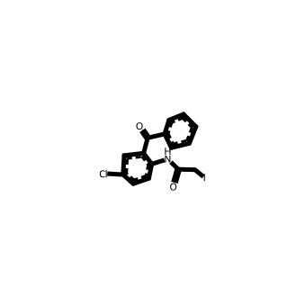 O=C(CI)Nc1ccc(Cl)cc1C(=O)c1ccccc1